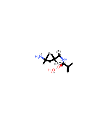 C=C(C)C(=O)NC(CC)C(C)(CC(C)(C)N)S(=O)(=O)O.O